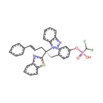 O=P(O)(Oc1ccc(C[C@@](C/C=C/c2ccccc2)(c2nc3ccccc3s2)n2nnc3ccccc32)cc1)C(F)F